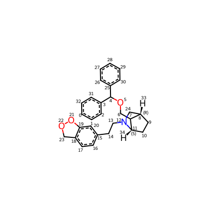 c1ccc(C(OCC2[C@H]3CC[C@@H]2N(CCc2ccc4c(c2)OOC4)C3)c2ccccc2)cc1